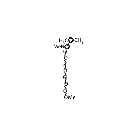 CNc1cc(-c2cc(C)ccc2C)ccc1OCCOCCOCCOCCOCCOCCOCCOC